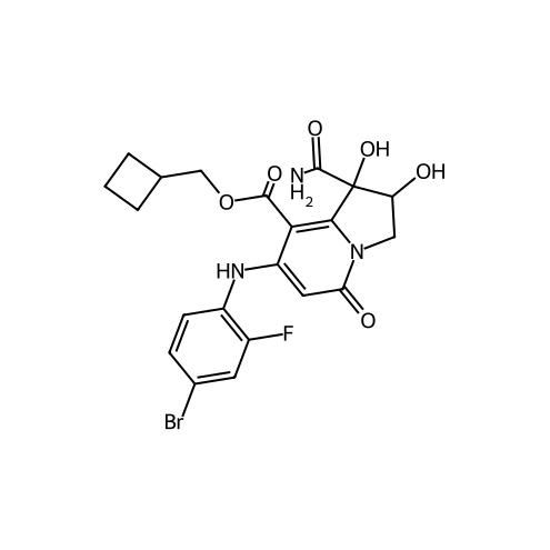 NC(=O)C1(O)c2c(C(=O)OCC3CCC3)c(Nc3ccc(Br)cc3F)cc(=O)n2CC1O